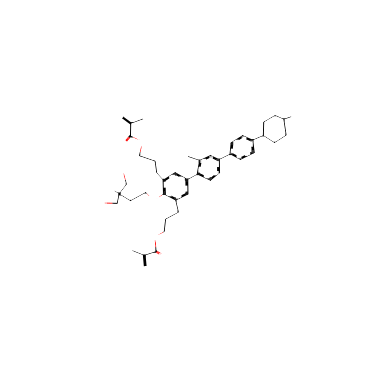 C=C(C)C(=O)OCCCc1cc(-c2ccc(-c3ccc(C4CCC(C)CC4)cc3)cc2C)cc(CCCOC(=O)C(=C)C)c1OCCC(CC)(CO)CO